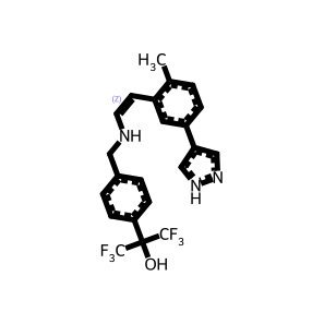 Cc1ccc(-c2cn[nH]c2)cc1/C=C\NCc1ccc(C(O)(C(F)(F)F)C(F)(F)F)cc1